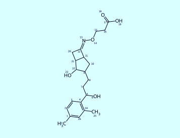 Cc1ccc(C(O)CCC2CC3C(=NOCCC(=O)O)CC3C2O)c(C)c1